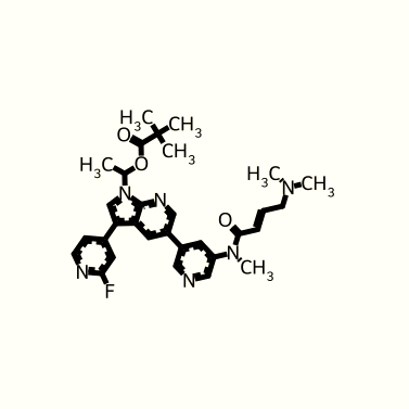 CC(OC(=O)C(C)(C)C)n1cc(-c2ccnc(F)c2)c2cc(-c3cncc(N(C)C(=O)C=CCN(C)C)c3)cnc21